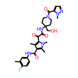 Cc1cc(NC(=O)c2c(C)c(C(=O)C(=O)NC3(CO)CCN(C(=O)c4ccnn4C)CC3)n(C)c2C)ccc1F